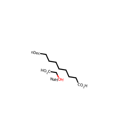 CCCCCCCCCCCCCCCCCC(=O)O.O=C(O)CO.[NaH]